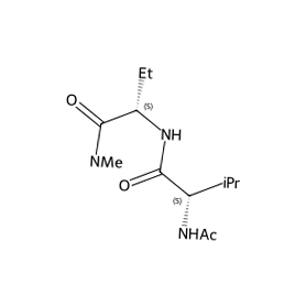 CC[C@H](NC(=O)[C@@H](NC(C)=O)C(C)C)C(=O)NC